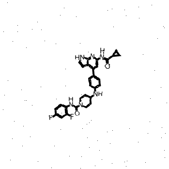 O=C(Nc1cc(-c2ccc(NC3CCN(C(=O)Nc4ccc(F)cc4F)CC3)cc2)c2cc[nH]c2n1)C1CC1